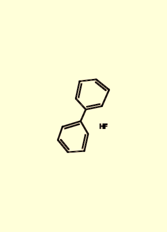 F.c1ccc(-c2ccccc2)cc1